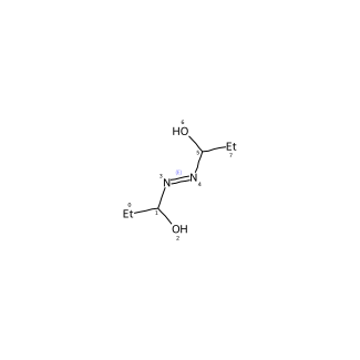 CCC(O)/N=N/C(O)CC